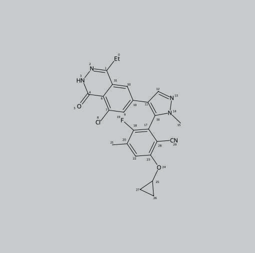 CCc1n[nH]c(=O)c2c(Cl)cc(-c3cnn(C)c3-c3c(F)c(C)cc(OC4CC4)c3C#N)cc12